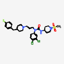 CS(=O)(=O)N1CCC(NC(=O)N(CCCN2CCC(Cc3ccc(F)cc3)CC2)c2ccc(Cl)c(Cl)c2)CC1